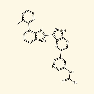 CCC(=O)Nc1cncc(-c2ccc3[nH]nc(-c4nc5c(-c6ccccc6C)cccc5[nH]4)c3c2)c1